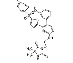 CC1(C)NC(=O)N(CCNc2ncc(-c3cccc(O)c3)c(-c3ccc(S(=O)(=O)c4ccc(F)cc4)s3)n2)C1=O